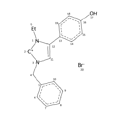 CCN1[C+]N(Cc2ccccc2)C=C1c1ccc(O)cc1.[Br-]